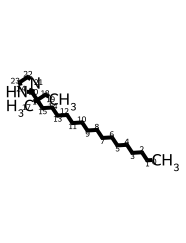 CCCCCCCCCCCCCCCCC(C)(CC)C1=NCCN1